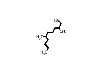 CC=CCC(C)CCC=C(C)CC(C)(C)C